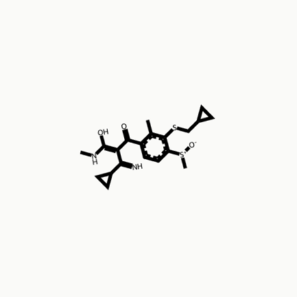 CN/C(O)=C(\C(=N)C1CC1)C(=O)c1ccc([S+](C)[O-])c(SCC2CC2)c1C